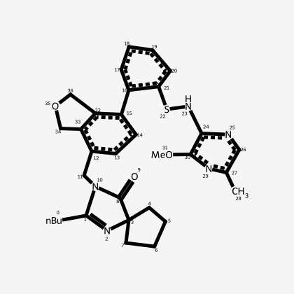 CCCCC1=NC2(CCCC2)C(=O)N1Cc1ccc(-c2ccccc2SNc2ncc(C)nc2OC)c2c1COC2